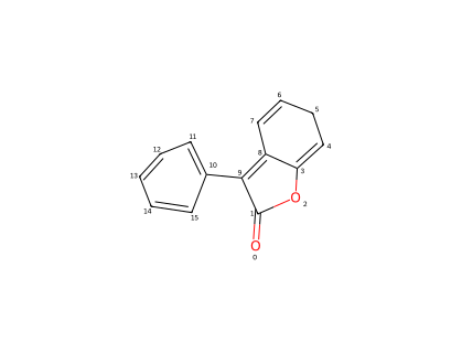 O=C1OC2=CCC=CC2=C1c1ccccc1